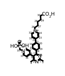 Cc1nc(C)c(-c2cc[n+](CP(=O)(O)O)cc2)c(-c2ccc(-c3cc[n+](CCCCCC(=O)O)cc3)cc2)n1